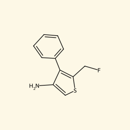 Nc1csc(CF)c1-c1ccccc1